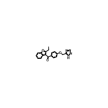 CCc1oc2ccccc2c1C(=O)c1ccc(OCc2nnn[nH]2)cc1